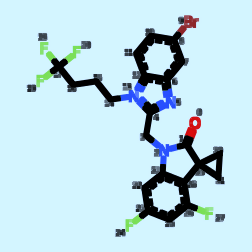 O=C1N(Cc2nc3cc(Br)ccc3n2CCCC(F)(F)F)c2cc(F)cc(F)c2C12CC2